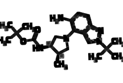 C[C@@H]1CN(c2c(N)ccc3nn(C(C)(C)C)cc23)C[C@@H]1NC(=O)OC(C)(C)C